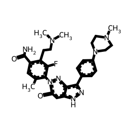 Cc1cc(C(N)=O)c(CCN(C)C)c(F)c1-n1nc2c(-c3ccc(N4CCN(C)CC4)cc3)n[nH]c2cc1=O